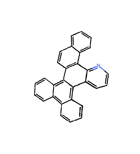 c1ccc2c(c1)ccc1c2c2ncccc2c2c3ccccc3c3ccccc3c12